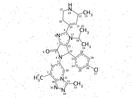 Cc1cc(N2C(=O)c3nc(C4=CC(C)NCC4)n(C(C)C)c3C2c2ccc(Cl)cc2)cn2c(C)nnc12